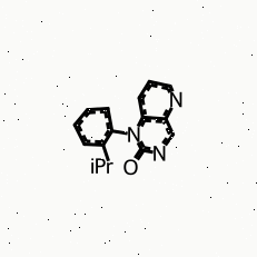 CC(C)c1ccccc1-n1c(=O)ncc2ncccc21